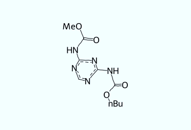 CCCCOC(=O)Nc1ncnc(NC(=O)OC)n1